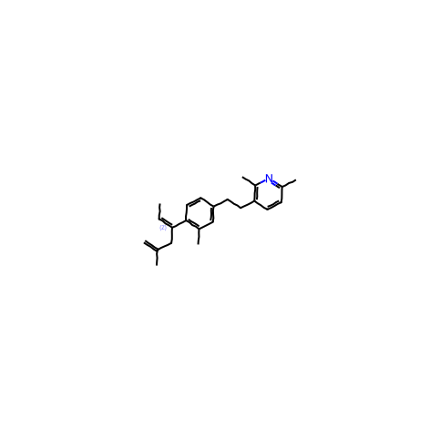 C=C(C)C/C(=C/C)c1ccc(CCc2ccc(C)nc2C)cc1C